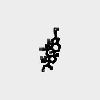 C#CCC[C@@]1(C)C(=O)CC[C@H]2[C@@H]3CC[C@](O)(C(=O)CCl)[C@@]3(C)CC(O)(O)[C@@]21F